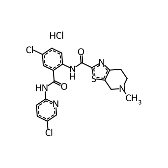 CN1CCc2nc(C(=O)Nc3ccc(Cl)cc3C(=O)Nc3ccc(Cl)cn3)sc2C1.Cl